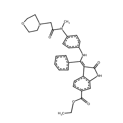 CCOC(=O)c1ccc2c(c1)NC(=O)/C2=C(\Nc1ccc(N(C)C(=O)CN2CCOCC2)cc1)c1ccccc1